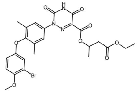 CCOC(=O)CC(C)OC(=O)c1nn(-c2cc(C)c(Oc3ccc(OC)c(Br)c3)c(C)c2)c(=O)[nH]c1=O